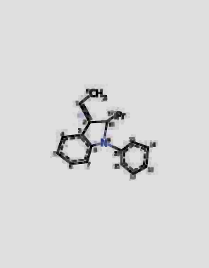 C/C=C1/c2ccccc2N(c2ccccc2)C1C(C)C